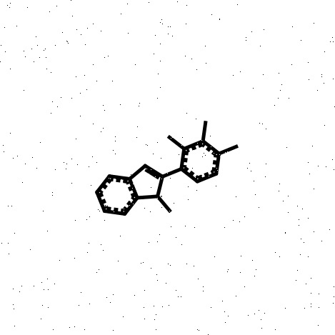 C[C]1C(c2ccc(C)c(C)c2C)=Cc2ccccc21